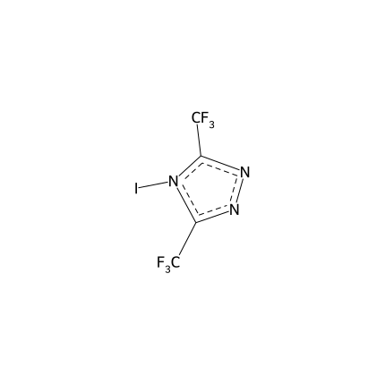 FC(F)(F)c1nnc(C(F)(F)F)n1I